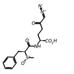 C[S+]([O-])[C@@H](Cc1ccccc1)C(=O)N[C@@H](CCC(=O)C=[N+]=[N-])C(=O)O